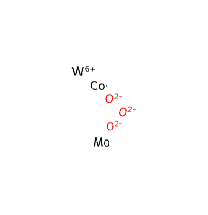 [Co].[Mo].[O-2].[O-2].[O-2].[W+6]